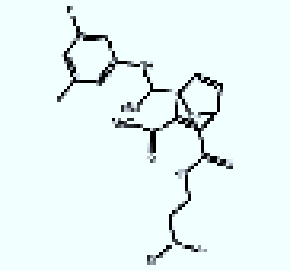 CCCCC(Nc1cc(F)cc(F)c1)C12C=CC(O1)C(C(=O)NCCN(CC)CC)=C2C(=O)OC